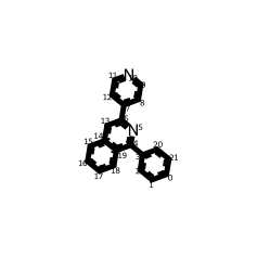 c1ccc(-c2nc(-c3ccncc3)cc3ccccc23)cc1